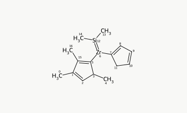 CC1=CC(C)[C]([Zr]([C]2=CC=CC2)=[Si](C)C)=C1C